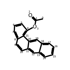 CC(=O)Oc1cccc2ccc3cc4ccccc4cc3c12